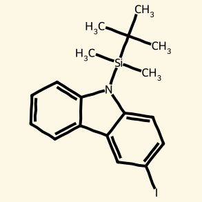 CC(C)(C)[Si](C)(C)n1c2ccccc2c2cc(I)ccc21